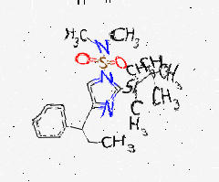 CCC(c1ccccc1)c1cn(S(=O)(=O)N(C)C)c([Si](C)(C)C(C)(C)C)n1